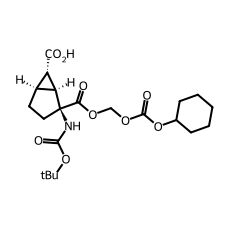 CC(C)(C)OC(=O)N[C@@]1(C(=O)OCOC(=O)OC2CCCCC2)CC[C@H]2[C@H](C(=O)O)[C@H]21